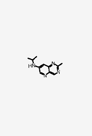 Cc1ncc2ncc(NC(C)C)cc2n1